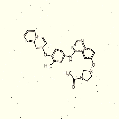 CC(=O)N1CC[C@@H](Oc2ccc3ncnc(Nc4ccc(OC5=CC6=NC=C=CN6C=C5)c(C)c4)c3c2)C1